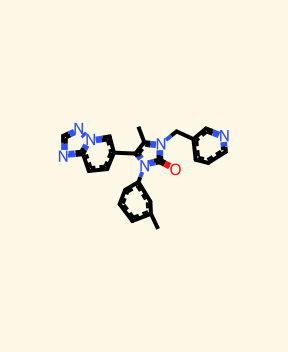 Cc1cccc(-n2c(-c3ccc4ncnn4c3)c(C)n(Cc3cccnc3)c2=O)c1